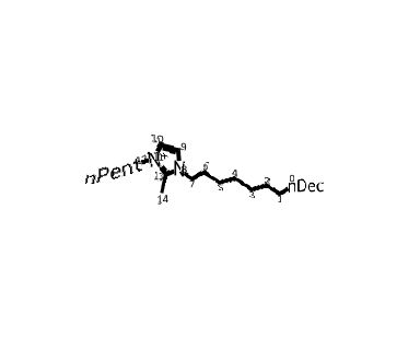 CCCCCCCCCCCCCCCCCn1cc[n+](CCCCC)c1C